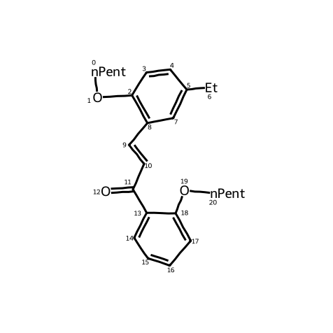 CCCCCOc1ccc(CC)cc1C=CC(=O)c1ccccc1OCCCCC